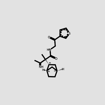 CC(=N)C(C)(C(=O)NCC(=O)c1ccsc1)[C@@H]1C[C@H]2CC[C@@H]1C2